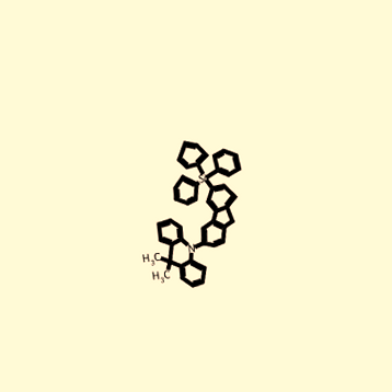 CC1(C)c2ccccc2N(c2ccc3c(c2)-c2cc([Si](c4ccccc4)(c4ccccc4)c4ccccc4)ccc2C3)c2ccccc21